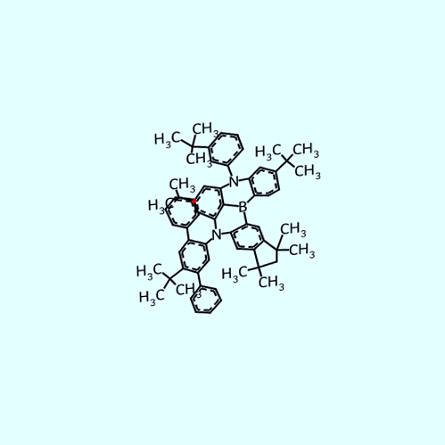 CC(C)c1cc2c3c(c1)N(c1cc(-c4ccccc4)c(C(C)(C)C)cc1-c1ccccc1)c1cc4c(cc1B3c1ccc(C(C)(C)C)cc1N2c1cccc(C(C)(C)C)c1)C(C)(C)CC4(C)C